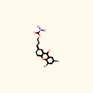 CCc1cc(CC)c2oc3c(c(=O)c2c1)=CC(=CCCOC(=O)N(CC)CC)CC=3